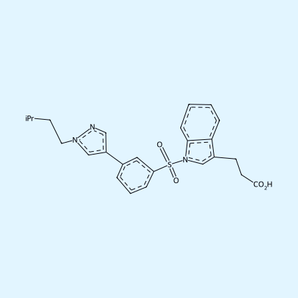 CC(C)CCn1cc(-c2cccc(S(=O)(=O)n3cc(CCC(=O)O)c4ccccc43)c2)cn1